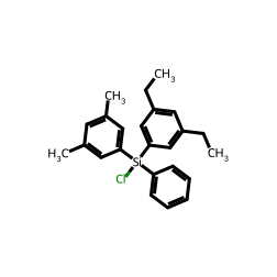 CCc1cc(CC)cc([Si](Cl)(c2ccccc2)c2cc(C)cc(C)c2)c1